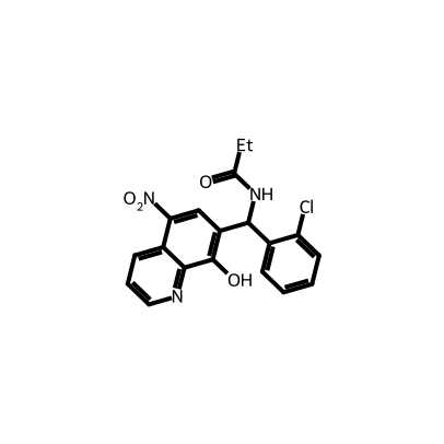 CCC(=O)NC(c1ccccc1Cl)c1cc([N+](=O)[O-])c2cccnc2c1O